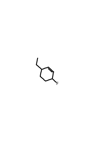 CCC1C=CC(F)CC1